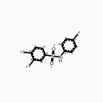 O=S(=O)(Nc1ccc(I)cc1)c1ccc(I)c(I)c1